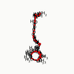 CO[C@H]1C[C@@H]2CC[C@@H](C)[C@@](O)(O2)C(=O)C(=O)N2CCCC[C@H]2C(=O)O[C@H]([C@H](N)C[C@@H]2CC[C@@H](OCc3cccc(-c4cnc(N5CCN(Cc6cn(CCOCCOCCOCCOCCOCCC(=O)NCCCCn7nc(-c8ccc9oc(N)nc9c8)c8c(N)ncnc87)nn6)CC5)nc4)c3)[C@H](OC)C2)CC(=O)[C@H](C)/C=C(\C)[C@@H](O)[C@@H](O)C(=O)[C@H](C)C[C@H](C)/C=C/C=C/C=C/1C